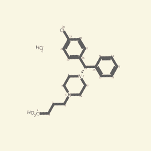 Cl.O=C(O)CCCN1CCN([C@@H](c2ccccc2)c2ccc(Cl)cc2)CC1